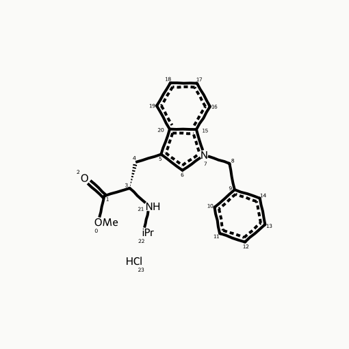 COC(=O)[C@H](Cc1cn(Cc2ccccc2)c2ccccc12)NC(C)C.Cl